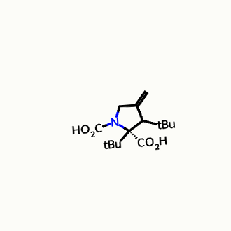 C=C1CN(C(=O)O)[C@](C(=O)O)(C(C)(C)C)C1C(C)(C)C